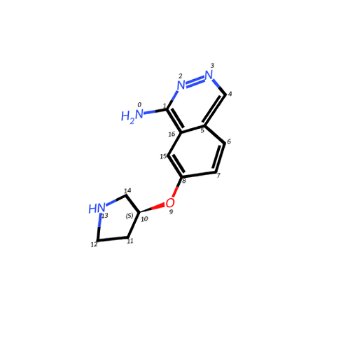 Nc1nncc2ccc(O[C@H]3CCNC3)cc12